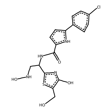 O=C(NC(CNO)c1nc(O)c(CO)s1)c1ccc(-c2ccc(Cl)cc2)[nH]1